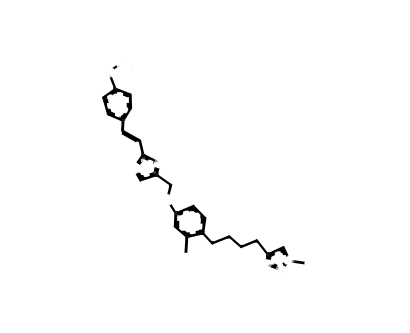 Cc1cc(OCc2coc(/C=C/c3ccc(OC(F)(F)F)cc3)n2)ccc1CCCCc1cn(C)nn1